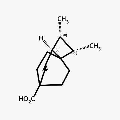 C[C@@H]1[C@H](C)C23CCC(C(=O)O)(C=C[C@@H]12)CC3